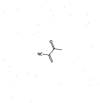 C=C(C#N)C(C)=O